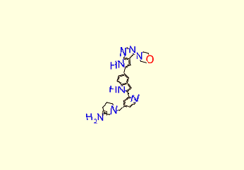 N[C@@H]1CCCN(Cc2ccnc(-c3cc4cc(-c5cc6c(N7CCOCC7)ncnc6[nH]5)ccc4[nH]3)c2)C1